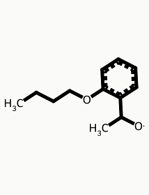 CCCCOc1ccccc1C(C)[O]